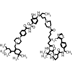 C=C(CC(C)C)C1=C(CN2CCN(c3ccc(C(=O)NS(=O)(=O)c4ccc(NC(CC)CCN5CCN(C(=O)CCCCCC(=O)NC(C(=O)N6CCCC6C(=O)NC(C)c6ccc(-c7scnc7C)cc6)C(C)(C)C)CC5)c(S)c4)cc3)CC2)CCC(C)(C)C1